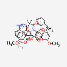 COc1cccc(C(O)(c2cccc(OC)c2)[C@H](c2cccc3ccccc23)N(C(=O)C2(C(N)=O)CC2)[C@@H](c2cccc3ccccc23)C(O)(c2cccc(OC)c2)c2cccc(OC)c2)c1